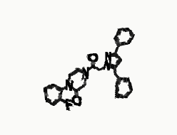 O=C(Cn1nc(-c2ccccc2)cc1-c1ccccc1)N1CCN(c2ccccc2F)C(=O)C1